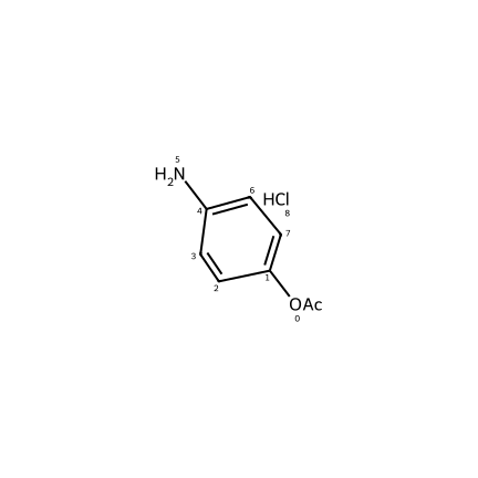 CC(=O)Oc1ccc(N)cc1.Cl